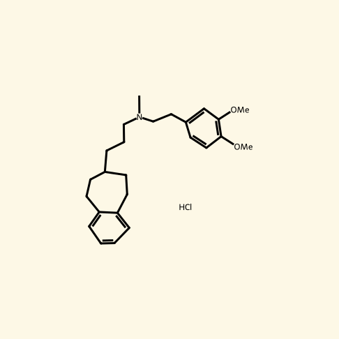 COc1ccc(CCN(C)CCCC2CCc3ccccc3CC2)cc1OC.Cl